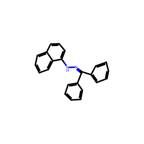 c1ccc(C(=NNc2cccc3ccccc23)c2ccccc2)cc1